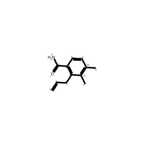 C=CCc1c(C(N)=O)ccc(C)c1C